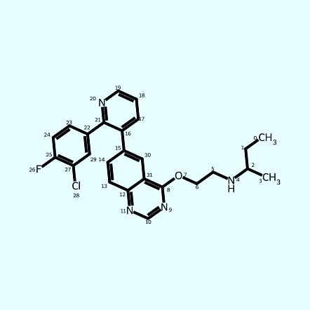 CCC(C)NCCOc1ncnc2ccc(-c3cccnc3-c3ccc(F)c(Cl)c3)cc12